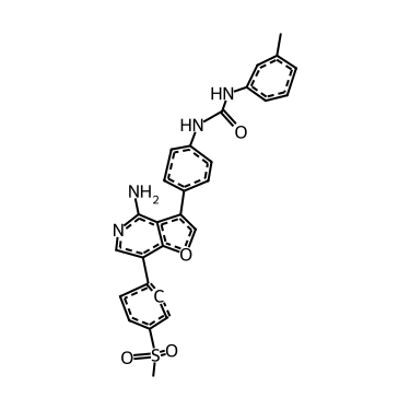 Cc1cccc(NC(=O)Nc2ccc(-c3coc4c(-c5ccc(S(C)(=O)=O)cc5)cnc(N)c34)cc2)c1